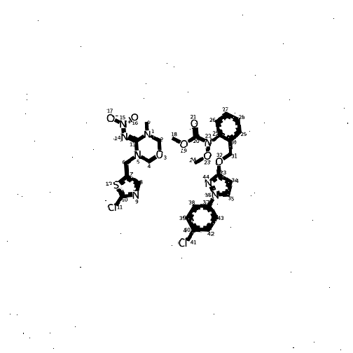 CN1COCN(Cc2cnc(Cl)s2)/C1=N/[N+](=O)[O-].COC(=O)N(OC)c1ccccc1COc1ccn(-c2ccc(Cl)cc2)n1